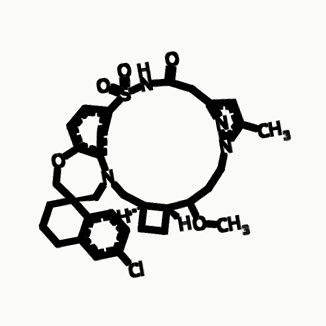 COC1CCn2nc(cc2C)CC(=O)NS(=O)(=O)c2ccc3c(c2)N(C[C@@H]2CC[C@@H]12)C[C@@]1(CCCc2cc(Cl)ccc21)CO3